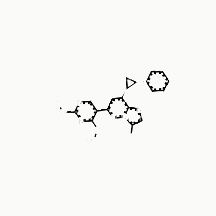 COc1ncc(-c2cc([C@H]3C[C@@H]3c3ccccc3)c3ncc(F)n3n2)c(OC)n1